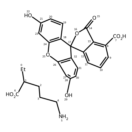 CCC(CCCN)C(=O)O.O=C(O)c1cccc2c1C(=O)OC21c2ccc(O)cc2Oc2cc(O)ccc21